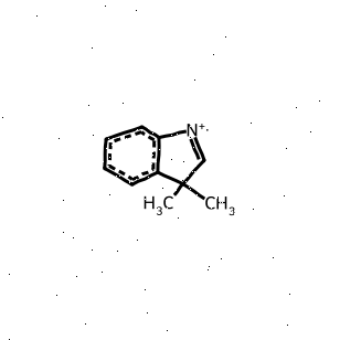 CC1(C)C=[N+]c2ccccc21